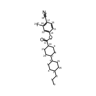 CCCC1CCC(C2CCC(C(=O)Oc3ccc(C#N)c(F)c3)CC2)CC1